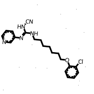 N#CN/C(=N\c1cccnc1)NCCCCCCCOc1ccccc1Cl